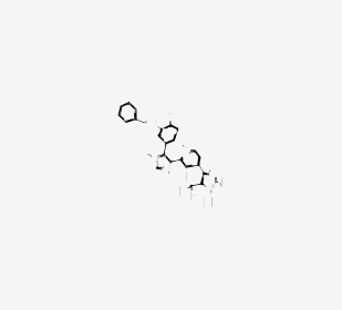 Cn1cnc(-c2cc(-c3nn[nH]c3C(F)(F)F)ccn2)c1-c1ccc(F)c(OCc2ccccc2)c1